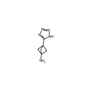 NC12CC(c3nnn[nH]3)(C1)C2